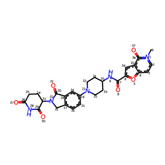 Cn1ccc2oc(C(=O)NC3CCN(c4ccc5c(c4)C(=O)N(C4CCC(=O)NC4=O)C5)CC3)cc2c1=O